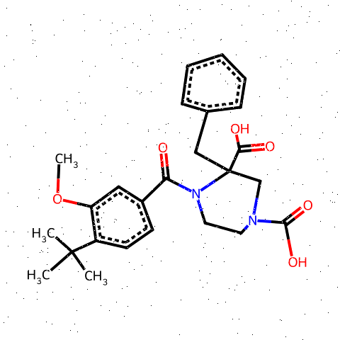 COc1cc(C(=O)N2CCN(C(=O)O)CC2(Cc2ccccc2)C(=O)O)ccc1C(C)(C)C